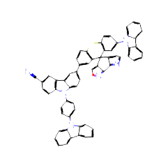 N#Cc1ccc2c(c1)c1cc(-c3ccc4c(c3)C3(c5cc(-n6c7ccccc7c7ccccc76)ccc5S4)c4cccnc4-c4ncccc43)ccc1n2-c1ccc(-n2c3ccccc3c3ccccc32)cc1